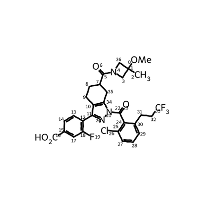 COC1(C)CN(C(=O)C2CCc3c(-c4ccc(C(=O)O)cc4F)nn(C(=O)c4c(Cl)cccc4CCC(F)(F)F)c3C2)C1